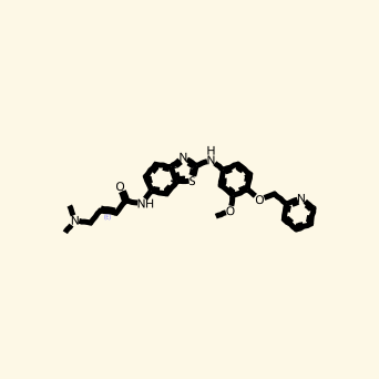 COc1cc(Nc2nc3ccc(NC(=O)/C=C/CN(C)C)cc3s2)ccc1OCc1ccccn1